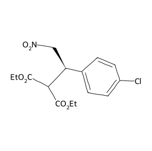 CCOC(=O)C(C(=O)OCC)[C@@H](C[N+](=O)[O-])c1ccc(Cl)cc1